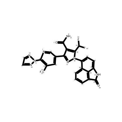 NC(=O)c1c(-c2cnc(-n3nccn3)c(C(F)(F)F)c2)nn(-c2ccc3c4c(cccc24)C(=O)N3)c1C(F)F